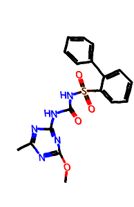 COc1nc(C)nc(NC(=O)NS(=O)(=O)c2ccccc2-c2ccccc2)n1